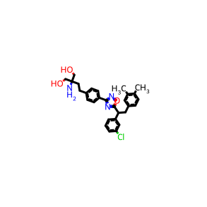 Cc1ccc(CC(c2cccc(Cl)c2)c2nc(-c3ccc(CCC(N)(CO)CO)cc3)no2)cc1C